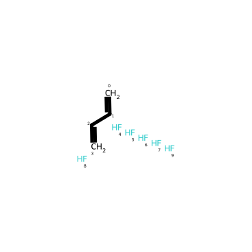 C=CC=C.F.F.F.F.F.F